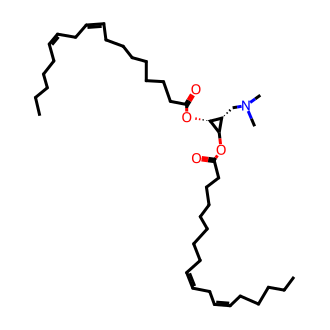 CCCCC/C=C\C/C=C\CCCCCCCC(=O)OC1[C@@H](CN(C)C)[C@H]1OC(=O)CCCCCCC/C=C\C/C=C\CCCCC